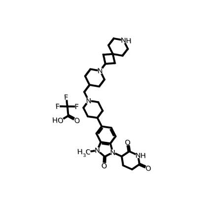 Cn1c(=O)n(C2CCC(=O)NC2=O)c2ccc(C3CCN(CC4CCN(C5CC6(CCNCC6)C5)CC4)CC3)cc21.O=C(O)C(F)(F)F